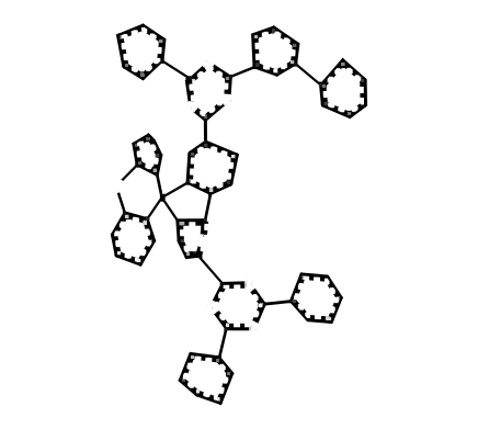 c1ccc(-c2cccc(-c3nc(-c4ccccc4)nc(-c4ccc5c(c4)C4(c6ccccc6Oc6ccccc64)c4ccc(-c6nc(-c7ccccc7)nc(-c7ccccc7)n6)cc4-5)n3)c2)cc1